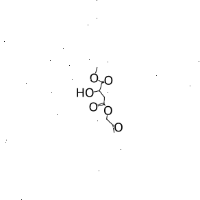 COC(=O)C(O)CC(=O)OCC1CO1